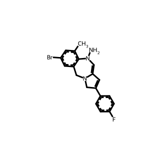 Cc1cc(Br)cc2c1N(N)C=C1C=C(c3ccc(F)cc3)CN1C2